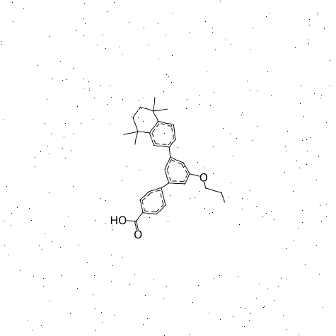 CCCOc1cc(-c2ccc(C(=O)O)cc2)cc(-c2ccc3c(c2)C(C)(C)CCC3(C)C)c1